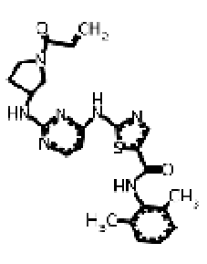 C=CC(=O)N1CCC(Nc2nccc(Nc3ncc(C(=O)Nc4c(C)cccc4C)s3)n2)C1